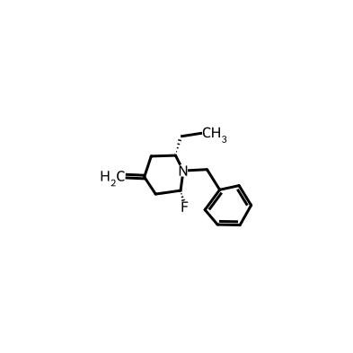 C=C1C[C@H](CC)N(Cc2ccccc2)[C@H](F)C1